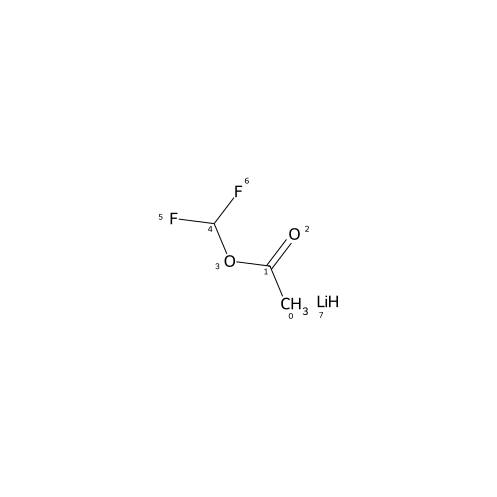 CC(=O)OC(F)F.[LiH]